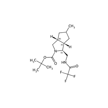 CC1C[C@H]2CN(C(=O)OC(C)(C)C)[C@H](CNC(=O)C(F)(F)F)[C@H]2C1